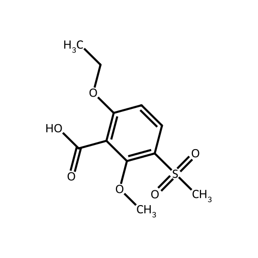 CCOc1ccc(S(C)(=O)=O)c(OC)c1C(=O)O